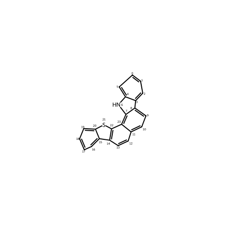 c1ccc2c(c1)[nH]c1c2ccc2ccc3c4ccccc4sc3c21